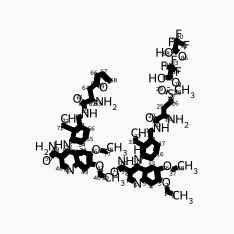 CCOc1cc2ncc(C(N)=O)c(Nc3cccc(CNC(=O)C(N)CC[S+](C)[O-])c3CC)c2cc1OCC.CCOc1cc2ncc(C(N)=O)c(Nc3cccc(CNC(=O)[C@@H](N)Cc4ccco4)c3CC)c2cc1OCC.O=C(O)C(F)(F)F.O=C(O)C(F)(F)F